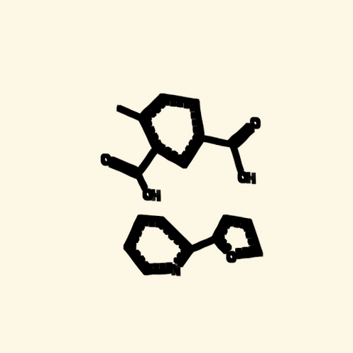 Cc1ccc(C(=O)O)cc1C(=O)O.c1ccc(-c2ccco2)nc1